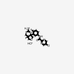 Cl.NC1=NC2(c3cc(NC(=O)c4ncc(Cl)cn4)ccc3F)COCC2(F)CS1